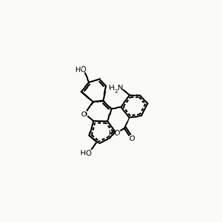 Nc1cccc(C(=O)O)c1C1=C2C=CC(O)=CC2Oc2cc(O)ccc21